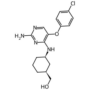 Nc1ncc(Oc2ccc(Cl)cc2)c(N[C@@H]2CCC[C@H](CO)C2)n1